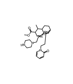 COC(=O)C1C=N[C@@]23C(=CCCC2C1C)N=C(CCn1ccccc1=O)N3CCN1CCNCC1